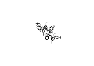 CC(C)[C@H](NC(=O)OC(C)(C)C)C(=O)N1C[C@@H](F)C[C@H]1Cn1c(-c2[nH]c3ccccc3c2C[C@@H]2C[C@H](F)CN2C(=O)O)nc2cc(F)ccc21